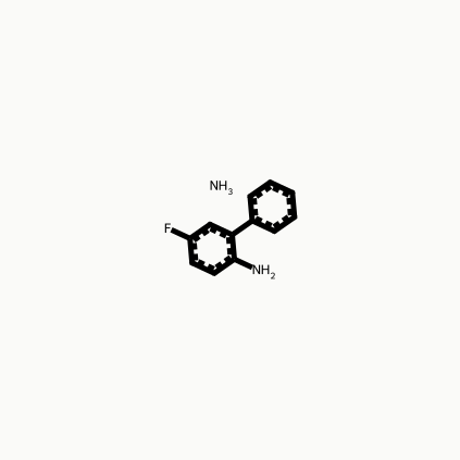 N.Nc1ccc(F)cc1-c1ccccc1